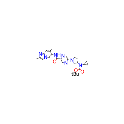 Cc1cn2cc(NC(=O)c3cnc(N4CCC(N(C(=O)OC(C)(C)C)C5CC5)C4)cn3)c(C)cc2n1